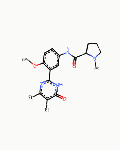 CCCOc1ccc(NC(=O)C2CCCN2C(C)=O)cc1-c1nc(CC)c(CC)c(=O)[nH]1